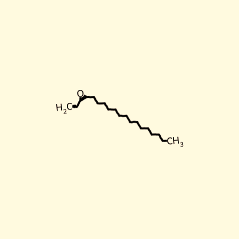 C=CC1=C(CCCCCCCCCCCCCCC)O1